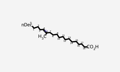 CCCCCCCCCCCCC/C=C(\C)CCCCCCCCCCCCC(=O)O